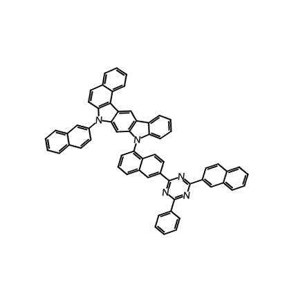 c1ccc(-c2nc(-c3ccc4ccccc4c3)nc(-c3ccc4c(-n5c6ccccc6c6cc7c8c9ccccc9ccc8n(-c8ccc9ccccc9c8)c7cc65)cccc4c3)n2)cc1